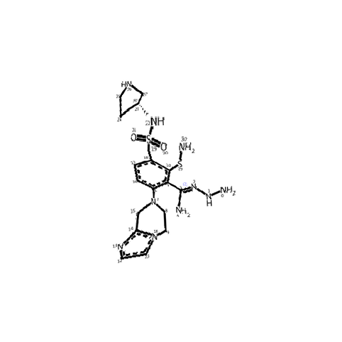 NN/N=C(\N)c1c(N2CCn3ccnc3C2)ccc(S(=O)(=O)N[C@@H]2CCNC2)c1SN